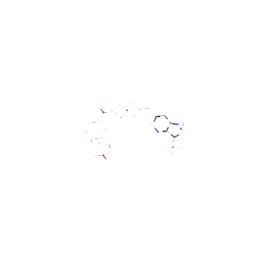 O=C1CO[C@H]2CCN(C(=O)N3CC4(CC(Cc5cc6[nH]nc(C(F)(F)F)c6cn5)C4)C3)C[C@H]2N1